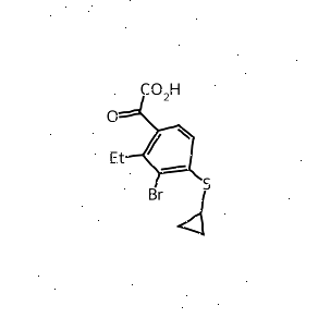 CCc1c(C(=O)C(=O)O)ccc(SC2CC2)c1Br